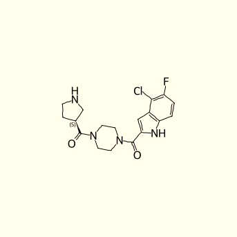 O=C(c1cc2c(Cl)c(F)ccc2[nH]1)N1CCN(C(=O)[C@H]2CCNC2)CC1